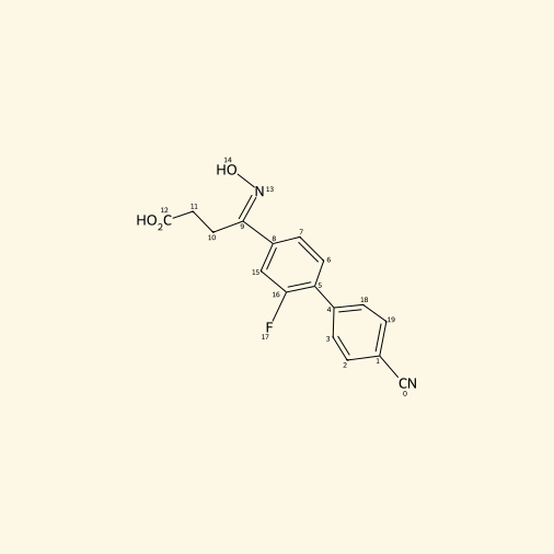 N#Cc1ccc(-c2ccc(/C(CCC(=O)O)=N/O)cc2F)cc1